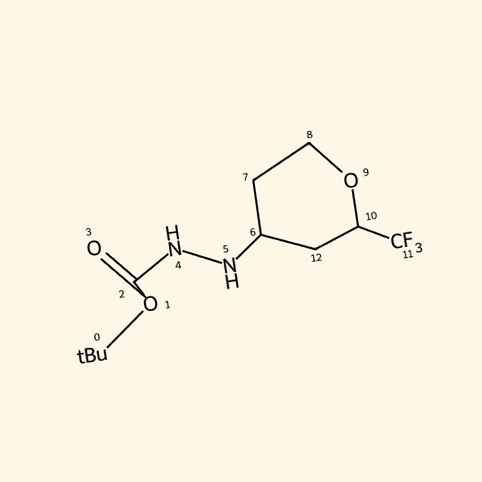 CC(C)(C)OC(=O)NNC1CCOC(C(F)(F)F)C1